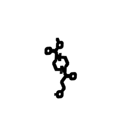 COC(=O)N1CCN(C(=O)CC[O])CC1